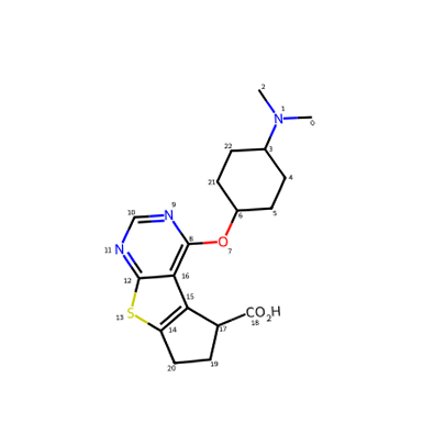 CN(C)C1CCC(Oc2ncnc3sc4c(c23)C(C(=O)O)CC4)CC1